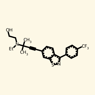 CCN(CCO)C(C)(C)C#Cc1ccc2c(-c3ccc(C(F)(F)F)cc3)nsc2c1